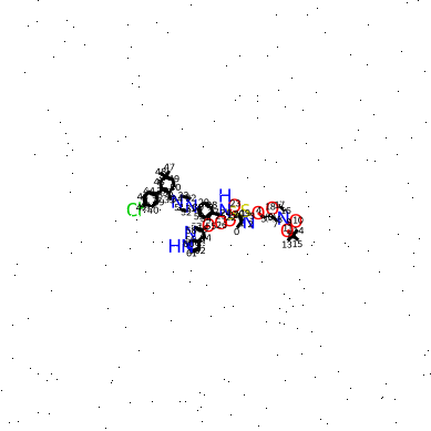 Cc1nc(OC[C@@H]2CN(C(=O)OC(C)(C)C)CCO2)sc1S(=O)(=O)NC(=O)c1ccc(N2CCN(CC3=C(c4ccc(Cl)cc4)CC(C)(C)CC3)CC2)cc1Oc1cnc2[nH]ccc2c1